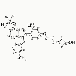 Cc1ccnc(Cn2c(-c3ccc(OCCCN4CC(O)C4)cc3Cl)nc3c(OC4(C)CC4)ncnc32)c1